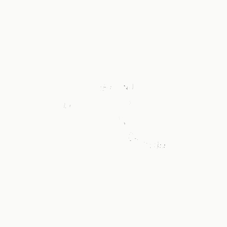 CCCCO[PH](=O)CC(CC)CCCC.[Nd]